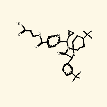 CC(C)(C)C1CCC2(CC1)N=C(c1cccc(C(F)(F)F)c1)C(=O)N2[C@@H](c1ccc(C(=O)NCCC(=O)O)cn1)C1CC1